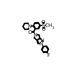 CS(=O)(=O)c1ccc(N2CCCCC2)c(C(=O)N2Cc3cn(-c4ccc(F)cc4)nc3C2)c1